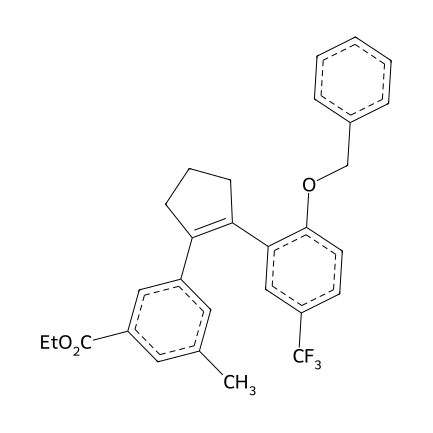 CCOC(=O)c1cc(C)cc(C2=C(c3cc(C(F)(F)F)ccc3OCc3ccccc3)CCC2)c1